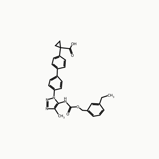 CCc1cccc(COC(=O)Nc2c(C)nnn2-c2ccc(-c3ccc(C4(C(=O)O)CC4)cc3)cc2)c1